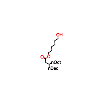 CCCCCCCCCCC(CCCCCCCC)CC(=O)OCCCCCCO